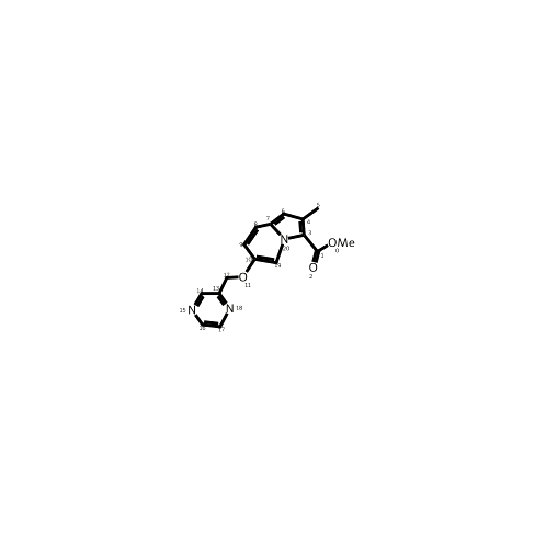 COC(=O)c1c(C)cc2ccc(OCc3cnccn3)cn12